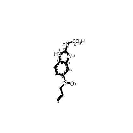 C=CC[S+]([O-])c1ccc2[nH]c(NC(=O)O)nc2c1